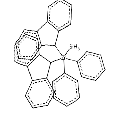 [SiH3][Zr]([c]1ccccc1)([c]1ccccc1)([CH]1c2ccccc2-c2ccccc21)[CH]1c2ccccc2-c2ccccc21